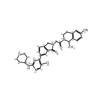 CC1c2ccc(C#N)cc2CCN1C(=O)CN1Cc2ccc(-c3nc(NC4CCOCC4)ncc3Cl)cc2C1=O